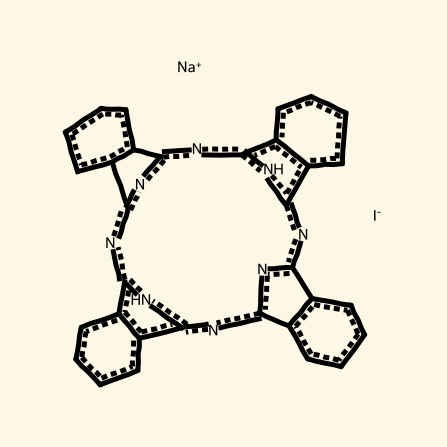 [I-].[Na+].c1ccc2c(c1)-c1nc-2nc2[nH]c(nc3nc(nc4[nH]c(n1)c1ccccc41)-c1ccccc1-3)c1ccccc21